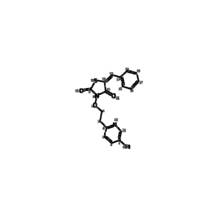 CCc1ccc(CCON2C(=O)SC(=Cc3ccccc3)C2=O)nc1